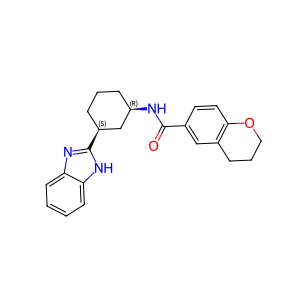 O=C(N[C@@H]1CCC[C@H](c2nc3ccccc3[nH]2)C1)c1ccc2c(c1)CCCO2